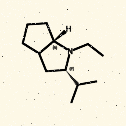 CCN1[C@H](C(C)C)CC2CCC[C@@H]21